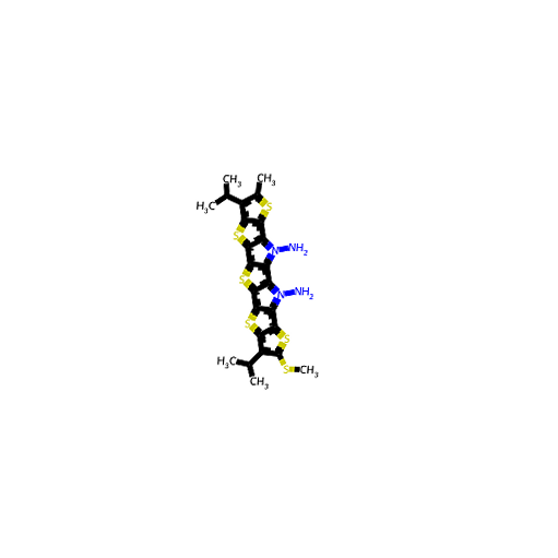 CSc1sc2c(sc3c4sc5c6sc7c(C(C)C)c(C)sc7c6n(N)c5c4n(N)c23)c1C(C)C